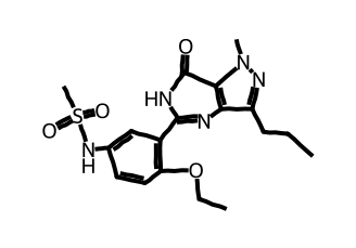 CCCc1nn(C)c2c(=O)[nH]c(-c3cc(NS(C)(=O)=O)ccc3OCC)nc12